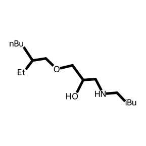 CCCCC(CC)COCC(O)CNCC(C)CC